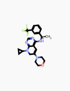 C[C@@H](Nc1ncnc2c1C=C(N1CCOCC1)CN2C1CC1)c1cccc(C(F)(F)F)c1